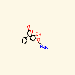 [N-]=[N+]=NCCOc1ccc2c(-c3ccccc3)cc(=O)oc2c1O